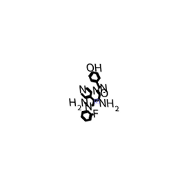 N/C(=C(\CN(N)c1ccccc1F)c1ccncc1)c1nc(-c2ccc(O)cc2)no1